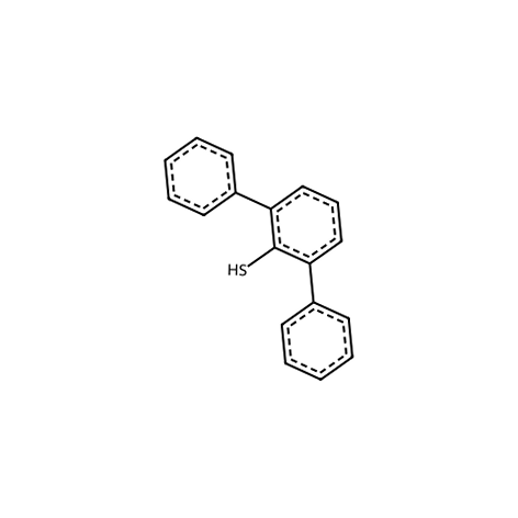 Sc1c(-c2ccccc2)cccc1-c1ccccc1